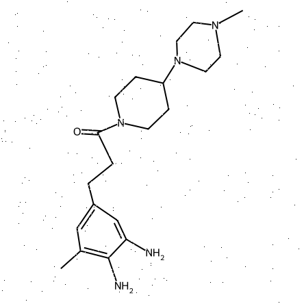 Cc1cc(C[CH]C(=O)N2CCC(N3CCN(C)CC3)CC2)cc(N)c1N